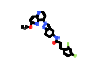 COc1ccc2nccc(-n3cc4c(n3)CCC(NC(=O)C=Cc3ccc(F)cc3F)C4)c2n1